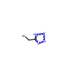 CC(C)Cc1nnn[nH]1